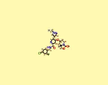 Cn1cc(-c2cnc(C(=O)NCc3ccc(Cl)cc3F)cc2O[C@H]2CCN3C(=O)OC[C@@H]3C2)cn1